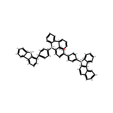 c1ccc(-c2ccccc2N(c2ccc(-c3ccc(-n4c5ccccc5c5c6ccccc6ccc54)cc3)cc2)c2ccc(-c3cccc4c3oc3ccccc34)cc2)cc1